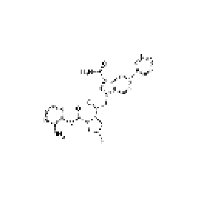 NC(=O)c1nn(CC(=O)N2CC(F)CC2C(=O)Nc2nccnc2N)c2ccc(-c3ccnnc3)cc12